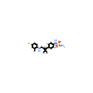 Cc1cc(F)ccc1NCC1C(c2ccc(NS(N)(=O)=O)cc2)C1(C)C